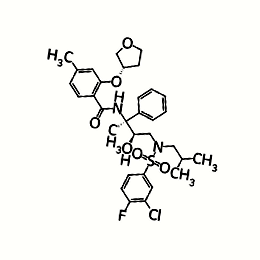 Cc1ccc(C(=O)N[C@@](C)(c2ccccc2)[C@H](O)CN(CC(C)C)S(=O)(=O)c2ccc(F)c(Cl)c2)c(O[C@H]2CCOC2)c1